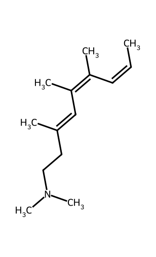 C\C=C/C(C)=C(C)\C=C(/C)CCN(C)C